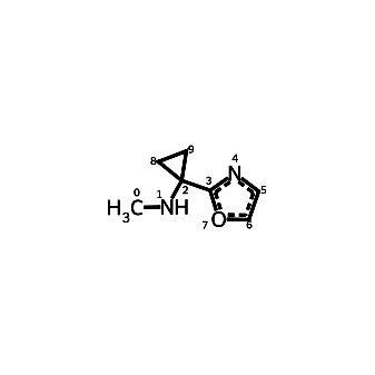 CNC1(c2ncco2)CC1